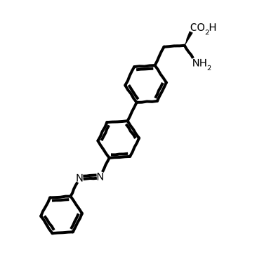 N[C@@H](Cc1ccc(-c2ccc(/N=N/c3ccccc3)cc2)cc1)C(=O)O